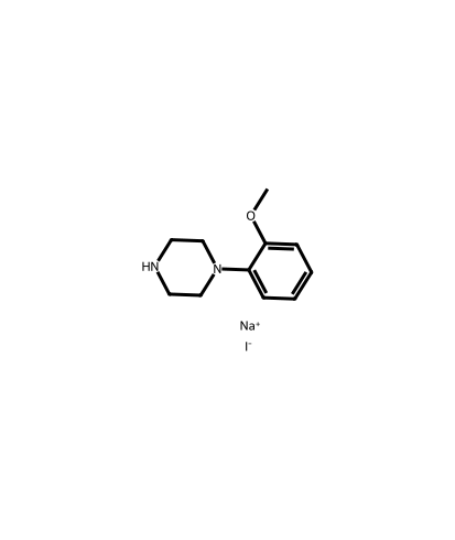 COc1ccccc1N1CCNCC1.[I-].[Na+]